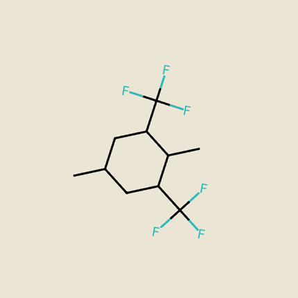 CC1CC(C(F)(F)F)C(C)C(C(F)(F)F)C1